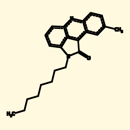 CCCCCCCCN1C(=O)c2c3cc(C)ccc3nc3cccc1c23